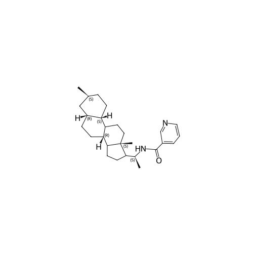 C[C@H]1CC[C@@H]2C3CC[C@@]4(C)C(CCC4[C@H](C)NC(=O)c4cccnc4)[C@@H]3CC[C@@H]2C1